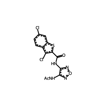 CC(=O)Nc1nonc1NC(=O)c1sc2cc(Cl)ccc2c1Cl